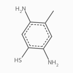 Cc1cc(N)c(S)cc1N